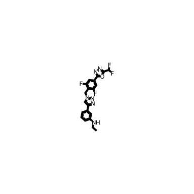 CCNc1cccc(-c2cn(Cc3c(F)cc(-c4nnc(C(F)F)o4)cc3F)nn2)c1